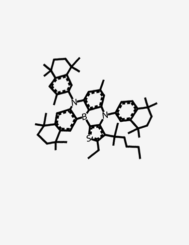 CCCCC(C)(C)c1c(CC)sc2c1N(c1ccc3c(c1)C(C)(C)CCC3(C)C)c1cc(C)cc3c1B2c1cc2c(cc1N3c1cc3c(cc1C)C(C)(C)CCC3(C)C)C(C)(C)CCC2(C)C